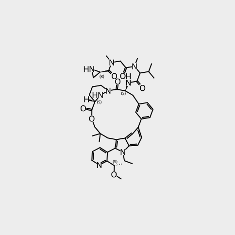 CCn1c(-c2cccnc2[C@H](C)OC)c2c3cc(ccc31)-c1cccc(c1)C[C@H](NC(=O)C(C(C)C)N(C)C(=O)CN(C)C(=O)[C@H]1CN1)C(=O)N1CCC[C@H](N1)C(=O)OCC(C)(C)C2